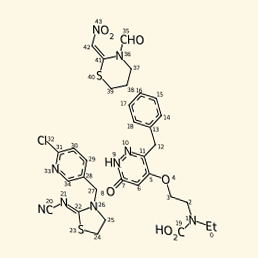 CCN(CCOc1cc(=O)[nH]nc1Cc1ccccc1)C(=O)O.N#CN=C1SCCN1Cc1ccc(Cl)nc1.O=CN1CCCSC1=C[N+](=O)[O-]